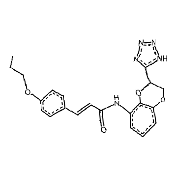 CCCOc1ccc(C=CC(=O)Nc2cccc3c2OC(c2nnn[nH]2)CO3)cc1